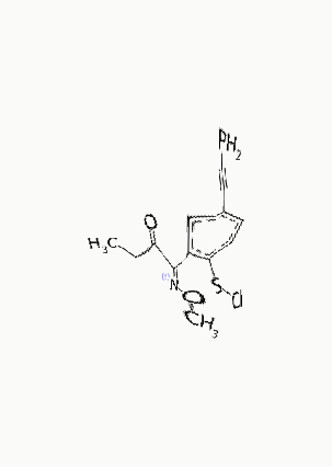 CCC(=O)/C(=N/OC)c1cc(C#CP)ccc1SCl